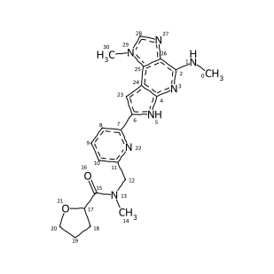 CNc1nc2[nH]c(-c3cccc(CN(C)C(=O)C4CCCO4)n3)cc2c2c1ncn2C